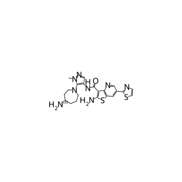 Cn1ncc(NC(=O)c2c(N)sc3cc(-c4nccs4)cnc23)c1N1CCC[C@H](N)CC1